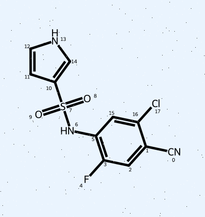 N#Cc1cc(F)c(NS(=O)(=O)c2cc[nH]c2)cc1Cl